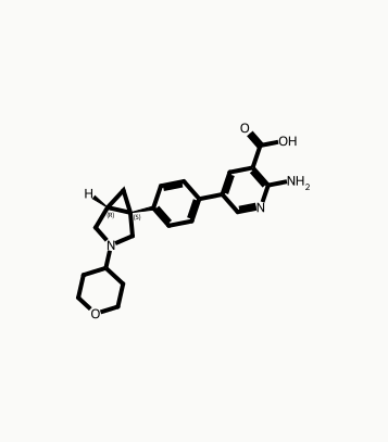 Nc1ncc(-c2ccc([C@]34C[C@H]3CN(C3CCOCC3)C4)cc2)cc1C(=O)O